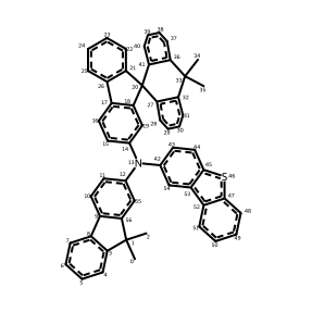 CC1(C)c2ccccc2-c2ccc(N(c3ccc4c(c3)C3(c5ccccc5-4)c4ccccc4C(C)(C)c4ccccc43)c3ccc4sc5ccccc5c4c3)cc21